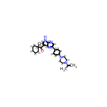 C=C(C)N1CCN(c2ccc(-c3cnc4[nH]cc(C(=O)C5(C)CCCCC5)c4n3)cc2)CC1